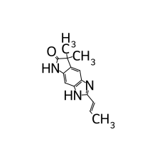 CC=Cc1nc2cc3c(cc2[nH]1)NC(=O)C3(C)C